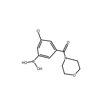 O=C(c1cc(Cl)cc(B(O)O)c1)N1CCOCC1